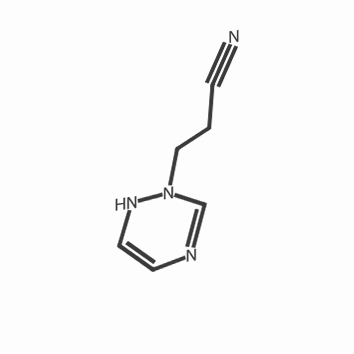 N#CCCN1C=NC=CN1